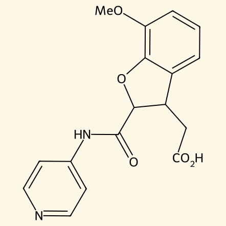 COc1cccc2c1OC(C(=O)Nc1ccncc1)C2CC(=O)O